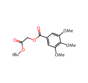 COc1cc(C(=O)OCC(=O)OC(C)(C)C)cc(OC)c1OC